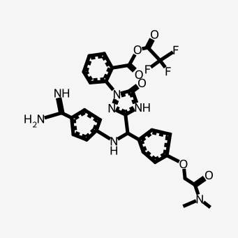 CN(C)C(=O)COc1ccc(C(Nc2ccc(C(=N)N)cc2)c2nn(-c3ccccc3C(=O)OC(=O)C(F)(F)F)c(=O)[nH]2)cc1